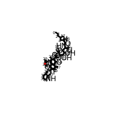 CCCC1CC(C(=O)N[C@H](C(C)Cl)[C@H]2O[C@](C)(SC)[C@H](OC(=O)c3c(C)n(C4CC4)c4c(OC)c(N5CC6CCCNC6C5)c(F)c(C)c4c3=O)[C@@H](O)[C@H]2O)N(C)C1